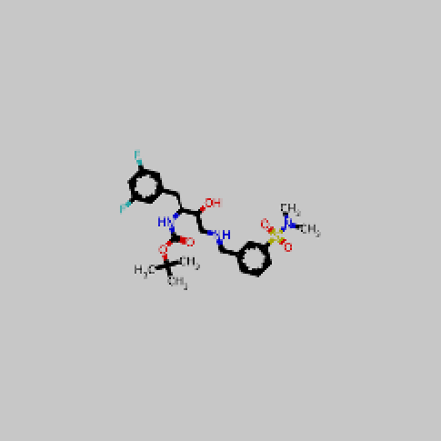 CN(C)S(=O)(=O)c1cccc(CNCC(O)[C@H](Cc2cc(F)cc(F)c2)NC(=O)OC(C)(C)C)c1